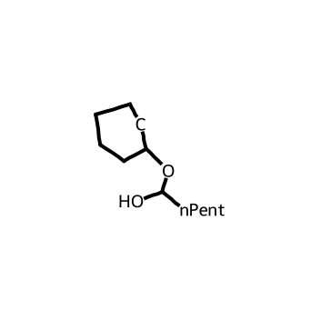 CCCCCC(O)OC1CCCCC1